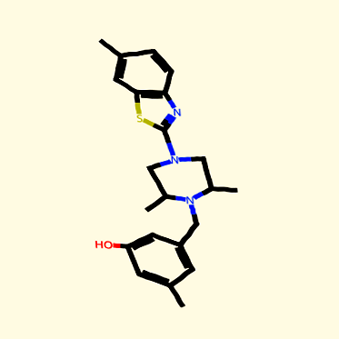 Cc1cc(O)cc(CN2C(C)CN(c3nc4ccc(C)cc4s3)CC2C)c1